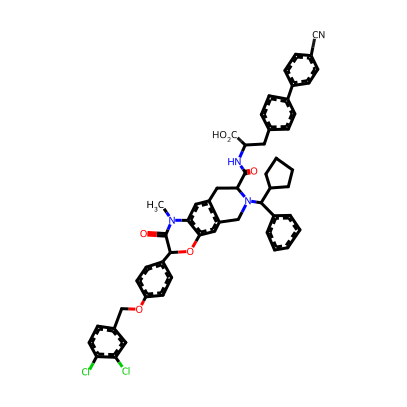 CN1C(=O)C(c2ccc(OCc3ccc(Cl)c(Cl)c3)cc2)Oc2cc3c(cc21)CC(C(=O)NC(Cc1ccc(-c2ccc(C#N)cc2)cc1)C(=O)O)N(C(c1ccccc1)C1CCCC1)C3